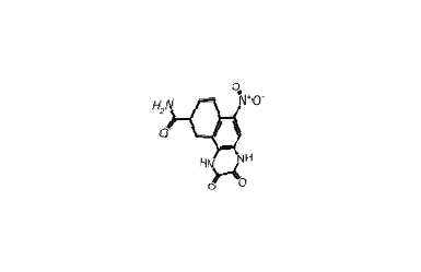 NC(=O)C1CCc2c([N+](=O)[O-])cc3[nH]c(=O)c(=O)[nH]c3c2C1